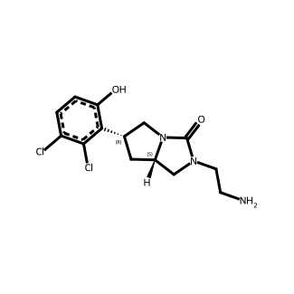 NCCN1C[C@@H]2C[C@H](c3c(O)ccc(Cl)c3Cl)CN2C1=O